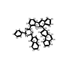 c1ccc(-c2nc(-c3ccc4ccccc4c3)nc(-c3cccc4c3oc3c(-c5ccc6c(ccc7ccccc76)c5)c5ccccc5cc34)n2)cc1